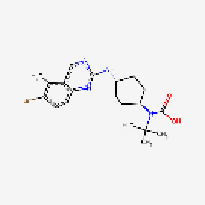 Cc1c(Br)ccc2nc(N[C@H]3CC[C@H](N(C(=O)O)C(C)(C)C)CC3)ncc12